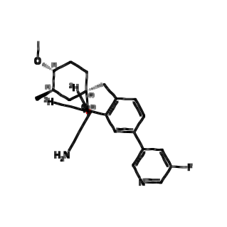 [2H]C1([2H])OC(N)=N[C@]12c1cc(-c3cncc(F)c3)ccc1C[C@]21CC[C@@H](OC)[C@H](C)C1